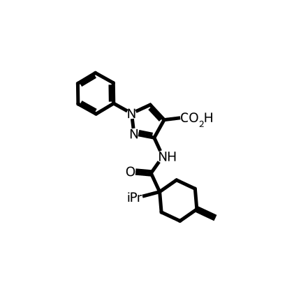 C=C1CCC(C(=O)Nc2nn(-c3ccccc3)cc2C(=O)O)(C(C)C)CC1